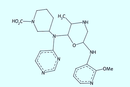 COc1ncccc1NC1CNC(C)C(N(c2ccncn2)C2CCCN(C(=O)O)C2)O1